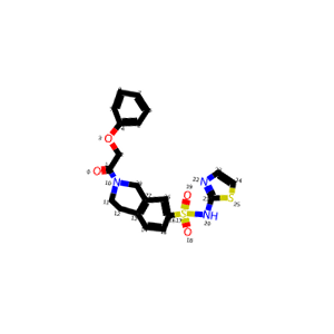 O=C(COc1ccccc1)N1CCc2ccc(S(=O)(=O)Nc3nccs3)cc2C1